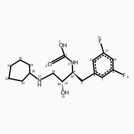 O=C(O)N[C@@H](Cc1cc(F)cc(F)c1)[C@H](O)CNC1CCCCC1